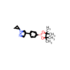 CC1(C)OB(c2ccc(-c3cnn(C4CC4)c3)cc2)OC1(C)C